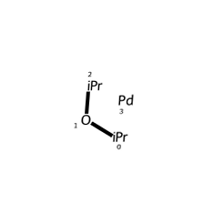 CC(C)OC(C)C.[Pd]